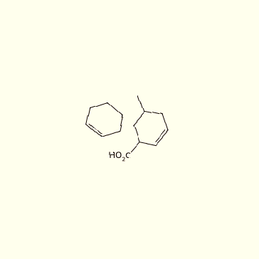 C1=CCCCC1.CC1CC=CC(C(=O)O)C1